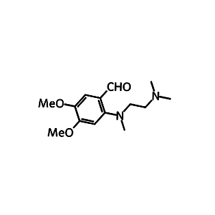 COc1cc(C=O)c(N(C)CCN(C)C)cc1OC